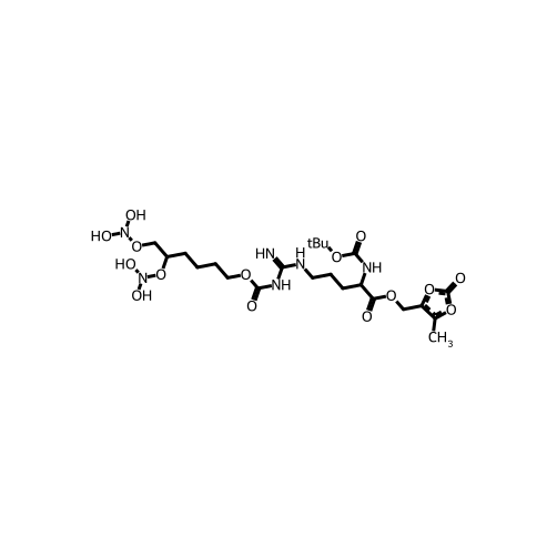 Cc1oc(=O)oc1COC(=O)C(CCCNC(=N)NC(=O)OCCCCC(CON(O)O)ON(O)O)NC(=O)OC(C)(C)C